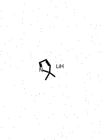 CC1(C)C=CC=N1.[LiH]